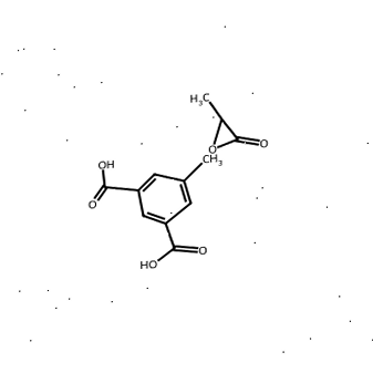 CC1OC1=O.Cc1cc(C(=O)O)cc(C(=O)O)c1